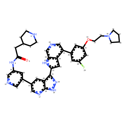 O=C(CC1CCNCC1)Nc1cncc(-c2cnc3[nH]nc(-c4cc5c(-c6cc(F)cc(OCCN7CCCC7)c6)cncc5[nH]4)c3c2)c1